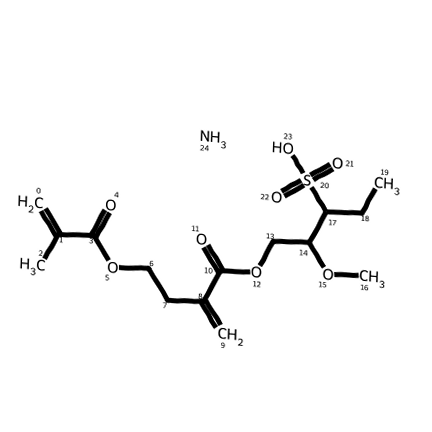 C=C(C)C(=O)OCCC(=C)C(=O)OCC(OC)C(CC)S(=O)(=O)O.N